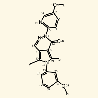 COc1ccc(-n2ncc3c(C)n(-c4cccc(OC)c4)c(C)c3c2=O)nc1